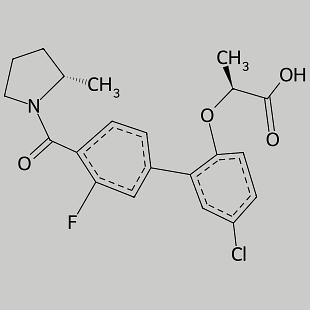 C[C@H](Oc1ccc(Cl)cc1-c1ccc(C(=O)N2CCC[C@@H]2C)c(F)c1)C(=O)O